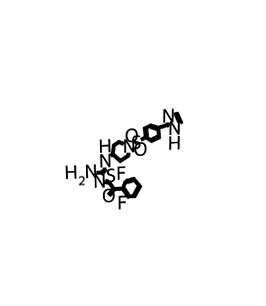 Nc1nc(C(=O)c2c(F)cccc2F)sc1NC1CCN(S(=O)(=O)c2ccc(-c3ncc[nH]3)cc2)CC1